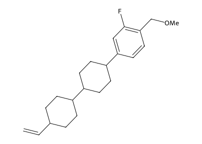 C=CC1CCC(C2CCC(c3ccc(COC)c(F)c3)CC2)CC1